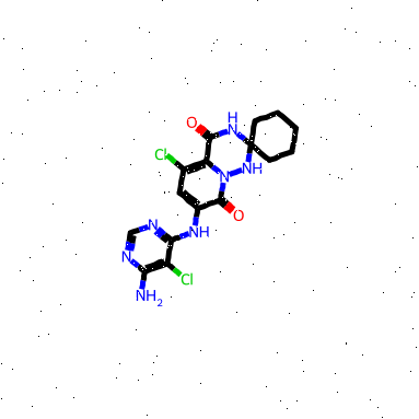 Nc1ncnc(Nc2cc(Cl)c3n(c2=O)NC2(CCCCC2)NC3=O)c1Cl